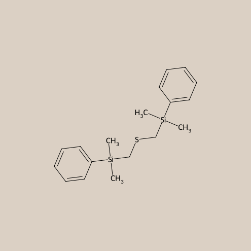 C[Si](C)(CSC[Si](C)(C)c1ccccc1)c1ccccc1